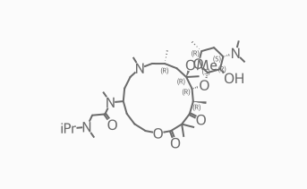 CO[C@]1(C)C[C@@H](C)CN(C)CCC(N(C)C(=O)CN(C)C(C)C)CCCOC(=O)C(C)(C)C(=O)[C@H](C)[C@H]1O[C@@H]1O[C@H](C)C[C@H](N(C)C)[C@H]1O